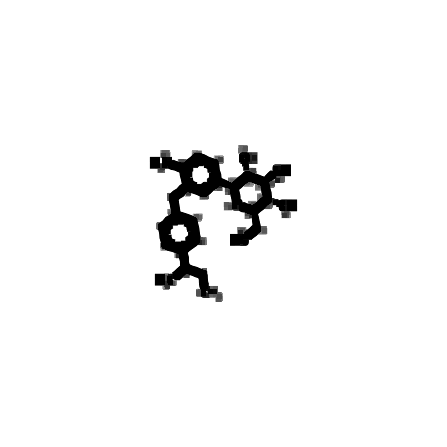 CCC(C)c1ccc(Cc2cc([C@@H]3O[C@H](CO)[C@@H](O)[C@H](O)[C@H]3O)ccc2N)cc1